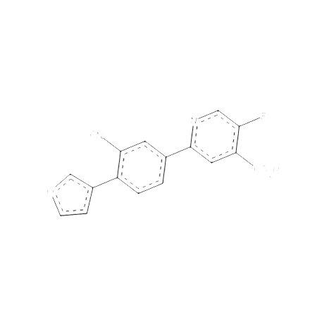 [C-]#[N+]c1cc(-c2cc(C(=O)O)c(F)cn2)ccc1-c1ccoc1